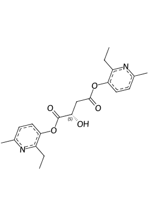 CCc1nc(C)ccc1OC(=O)C[C@H](O)C(=O)Oc1ccc(C)nc1CC